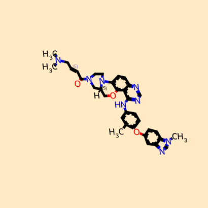 Cc1cc(Nc2ncnc3ccc4c(c23)OC[C@@H]2CN(C(=O)/C=C/CN(C)C)CCN42)ccc1Oc1ccc2c(c1)ncn2C